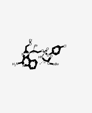 CCCCOC(=O)[C@H](C)N[P@](=O)(OC[C@@H](C(C)C)n1c(COCC)nc2c(N)nc3ccccc3c21)Oc1ccc(Cl)cc1